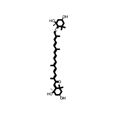 C\C(C=C=C1C(C)(C)C[C@H](O)C[C@@]1(C)O)=C/C=C/C(C)=C/C=C/C=C(C)/C=C/C=C(\C)C(=O)/C=C1\C(C)(C)C[C@H](O)C[C@@]1(C)O